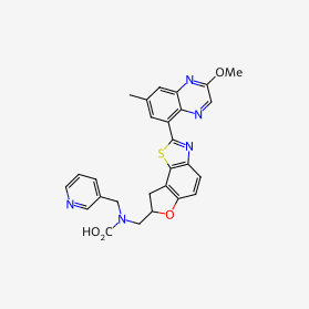 COc1cnc2c(-c3nc4ccc5c(c4s3)CC(CN(Cc3cccnc3)C(=O)O)O5)cc(C)cc2n1